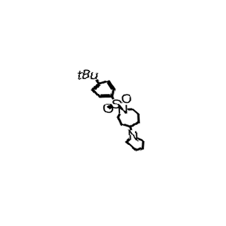 CC(C)(C)c1ccc(S(=O)(=O)N2CCCC(N3CCCC3)CC2)cc1